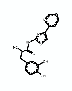 N#CC(Cc1ccc(O)c(O)c1)C(=O)Nc1nc(-c2ccccn2)cs1